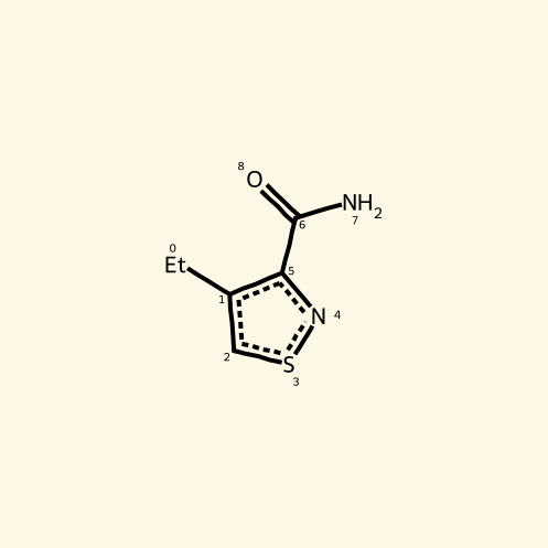 CCc1csnc1C(N)=O